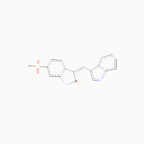 CS(=O)(=O)c1ccc2c(c1)NC(=O)C2=Cc1c[nH]c2ccccc12